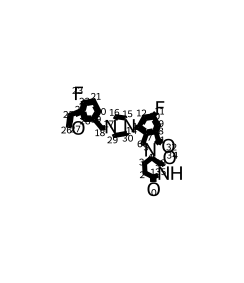 O=C1CCC(N2Cc3c(cc(F)cc3N3CCN(Cc4ccc(F)c5ccoc45)CC3)C2=O)C(=O)N1